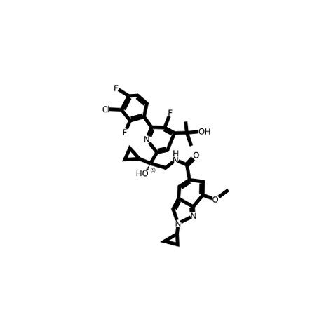 COc1cc(C(=O)NC[C@](O)(c2cc(C(C)(C)O)c(F)c(-c3ccc(F)c(Cl)c3F)n2)C2CC2)cc2cn(C3CC3)nc12